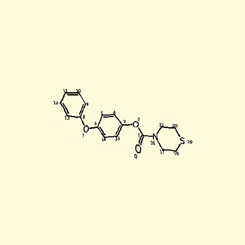 O=C(Oc1ccc(Oc2ccccc2)cc1)N1CCSCC1